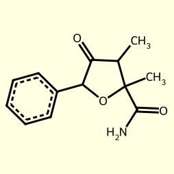 CC1C(=O)C(c2ccccc2)OC1(C)C(N)=O